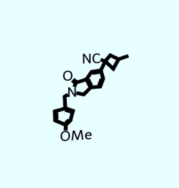 COc1ccc(CN2Cc3ccc(C4(C#N)CC(C)C4)cc3C2=O)cc1